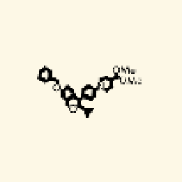 COC(OC)C1CCN(c2ccc(C3c4ccc(OCc5ccccc5)cc4COC3C3CC3)cc2)CC1